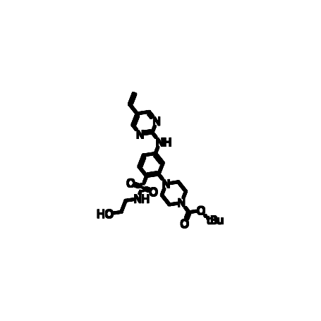 C=Cc1cnc(Nc2ccc(S(=O)(=O)NCCO)c(N3CCN(C(=O)OC(C)(C)C)CC3)c2)nc1